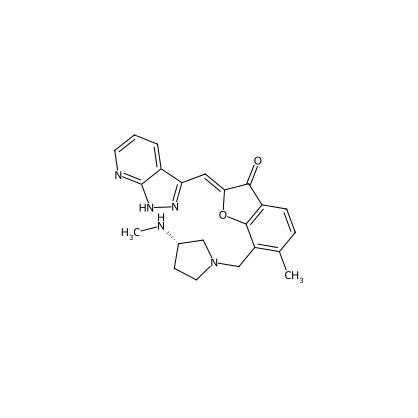 CN[C@H]1CCN(Cc2c(C)ccc3c2O/C(=C\c2n[nH]c4ncccc24)C3=O)C1